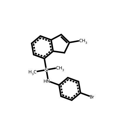 CC1=Cc2cccc([Si](C)(C)Nc3ccc(Br)cc3)c2C1